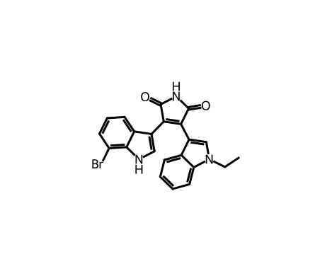 CCn1cc(C2=C(c3c[nH]c4c(Br)cccc34)C(=O)NC2=O)c2ccccc21